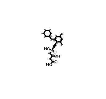 Cc1cc(C)c(C#CP(=O)(O)CC(O)CC(=O)O)c(CC2CCCCC2)c1